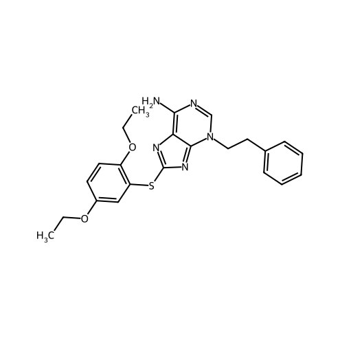 CCOc1ccc(OCC)c(Sc2nc3c(N)ncn(CCc4ccccc4)c-3n2)c1